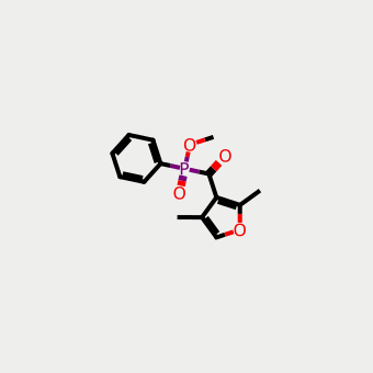 COP(=O)(C(=O)c1c(C)coc1C)c1ccccc1